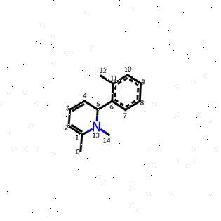 CC1=CC=CC(c2ccccc2C)N1C